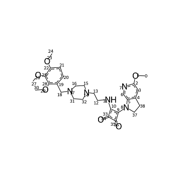 COc1cc2c(cn1)N(c1c(NCCN3CCN(Cc4ccc(OC)c(OC)c4OC)CC3)c(=O)c1=O)CC2